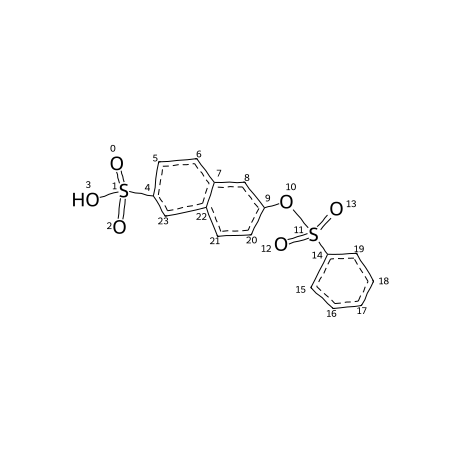 O=S(=O)(O)c1ccc2cc(OS(=O)(=O)c3ccccc3)ccc2c1